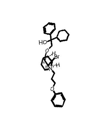 OC(CO[C@@H]1C2CC[N+](CCCOc3ccccc3)(CC2)[C@@H]1Br)(c1ccccc1)C1CCCCC1